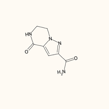 NC(=O)c1cc2n(n1)CCNC2=O